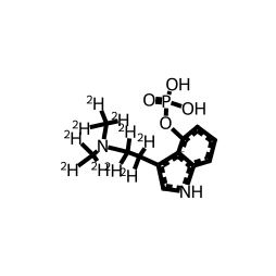 [2H]C([2H])([2H])N(C([2H])([2H])[2H])C([2H])([2H])C([2H])([2H])c1c[nH]c2cccc(OP(=O)(O)O)c12